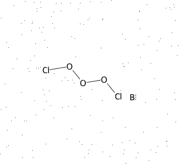 ClOOOCl.[B]